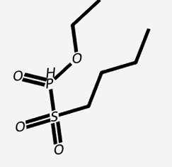 CCCCS(=O)(=O)[PH](=O)OCC